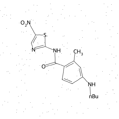 CCCCNc1ccc(C(=O)Nc2ncc([N+](=O)[O-])s2)c(C)c1